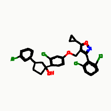 OC1(c2ccc(OCc3c(-c4c(Cl)cccc4Cl)noc3C3CC3)cc2Cl)CCC(c2cccc(Br)c2)C1